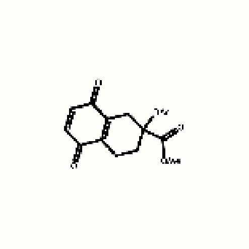 COC(=O)C1(OC(C)=O)CCC2=C(C1)C(=O)C=CC2=O